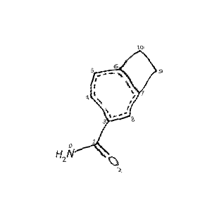 NC(=O)c1ccc2c(c1)CC2